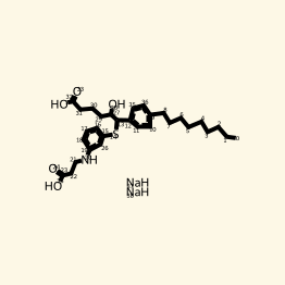 CCCCCCCCCc1ccc(C(Sc2cccc(NCCC(=O)O)c2)C(O)CCCC(=O)O)cc1.[NaH].[NaH]